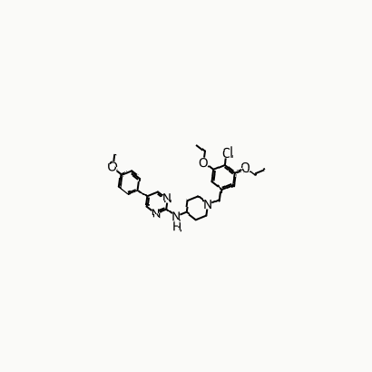 CCOc1cc(CN2CCC(Nc3ncc(-c4ccc(OC)cc4)cn3)CC2)cc(OCC)c1Cl